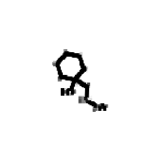 CCCNCC1(O)CCCCC1